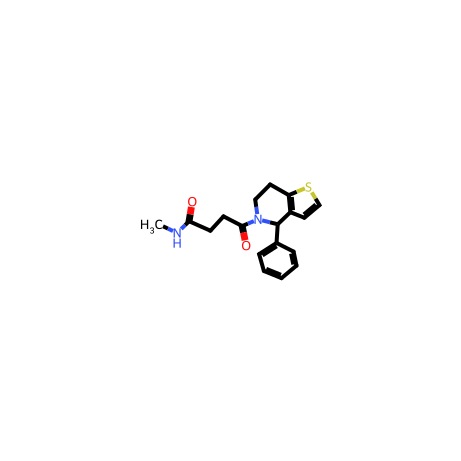 CNC(=O)CCC(=O)N1CCc2sccc2C1c1ccccc1